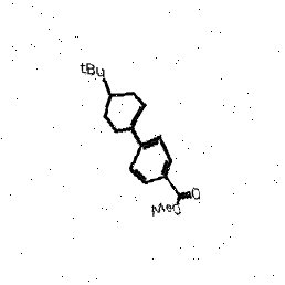 COC(=O)c1ccc(C2=CCC(C(C)(C)C)CC2)cc1